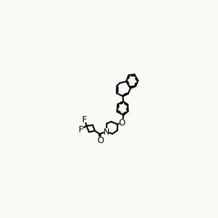 O=C(C1CC(F)(F)C1)N1CCC(Oc2ccc(C3=Cc4ccccc4CC=C3)cc2)CC1